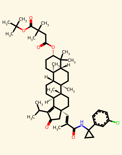 CC(=C[C@@]12CC[C@]3(C)[C@H](CC[C@@H]4[C@@]5(C)CC[C@H](OC(=O)CC(C)(C)C(=O)OC(C)(C)C)C(C)(C)[C@@H]5CC[C@]43C)C1=C(C(C)C)C(=O)C2)C(=O)NC1(c2cccc(Cl)c2)CC1